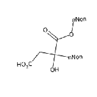 CCCCCCCCCOC(=O)C(O)(CCCCCCCCC)CC(=O)O